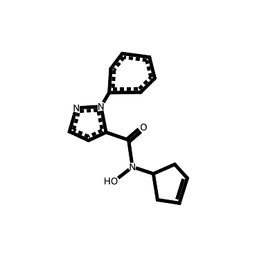 O=C(c1ccnn1-c1ccccc1)N(O)C1CC=CC1